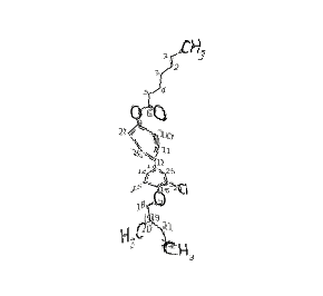 CCCCCCC(=O)Oc1ccc(-c2ccc(OC[C@@H](C)CC)c(Cl)c2)cc1